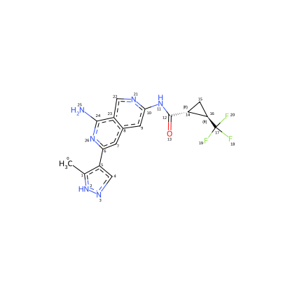 Cc1[nH]ncc1-c1cc2cc(NC(=O)[C@@H]3C[C@H]3C(F)(F)F)ncc2c(N)n1